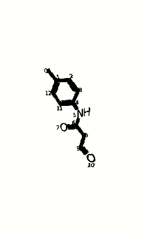 Cc1ccc(NC(=O)C[C]=O)cc1